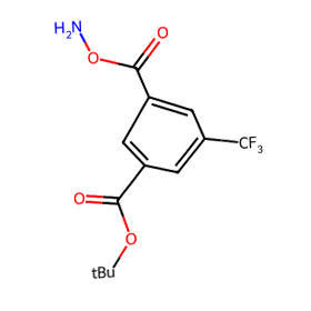 CC(C)(C)OC(=O)c1cc(C(=O)ON)cc(C(F)(F)F)c1